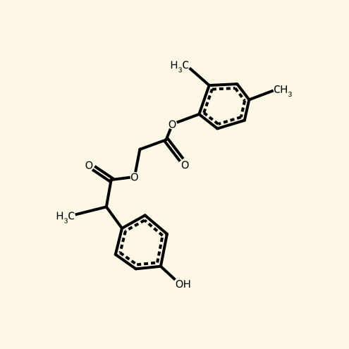 Cc1ccc(OC(=O)COC(=O)C(C)c2ccc(O)cc2)c(C)c1